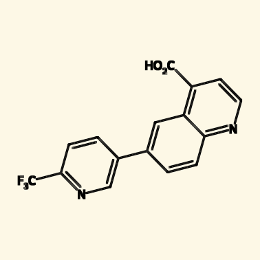 O=C(O)c1ccnc2ccc(-c3ccc(C(F)(F)F)nc3)cc12